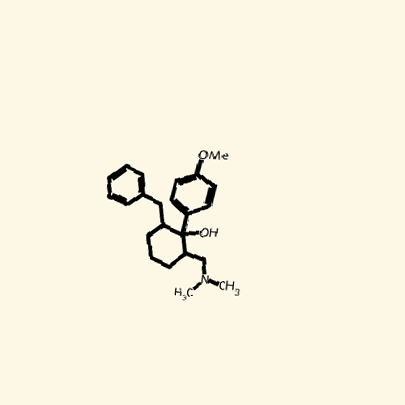 COc1ccc(C2(O)C(Cc3ccccc3)CCCC2CN(C)C)cc1